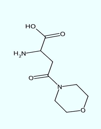 NC(CC(=O)N1CCOCC1)C(=O)O